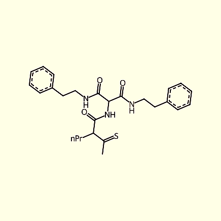 CCCC(C(=O)NC(C(=O)NCCc1ccccc1)C(=O)NCCc1ccccc1)C(C)=S